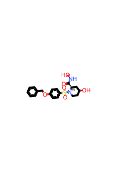 O=C(NO)[C@H]1C[C@@H](O)CCN1S(=O)(=O)c1ccc(OCc2ccccc2)cc1